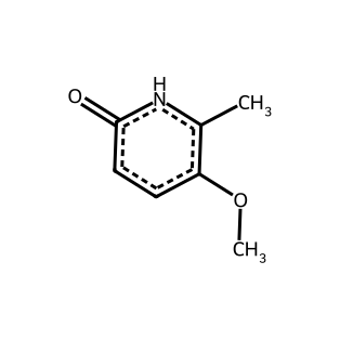 COc1ccc(=O)[nH]c1C